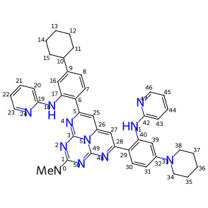 CNC1=NC2=NC(c3ccc(C4CCCCC4)cc3Nc3ccccn3)=CC3=CC(c4ccc(N5CCCCC5)cc4Nc4ccccn4)=NC(=N1)N32